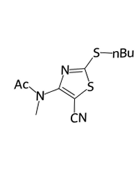 CCCCSc1nc(N(C)C(C)=O)c(C#N)s1